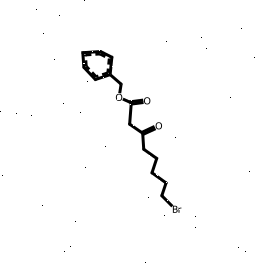 O=C(CCCCCBr)CC(=O)OCc1ccccc1